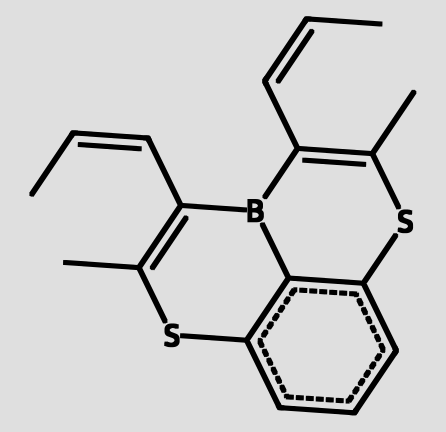 C/C=C\C1=C(C)Sc2cccc3c2B1C(/C=C\C)=C(C)S3